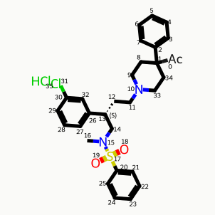 CC(=O)C1(c2ccccc2)CCN(CC[C@H](CN(C)S(=O)(=O)c2ccccc2)c2cccc(Cl)c2)CC1.Cl